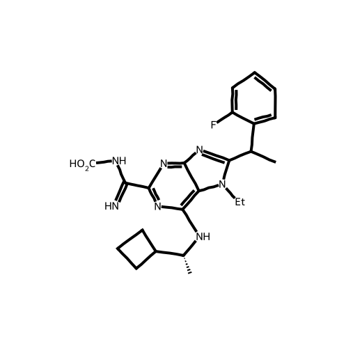 CCn1c(C(C)c2ccccc2F)nc2nc(C(=N)NC(=O)O)nc(N[C@H](C)C3CCC3)c21